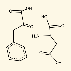 NC(CC(=O)O)C(=O)O.O=C(O)C(=O)Cc1ccccc1